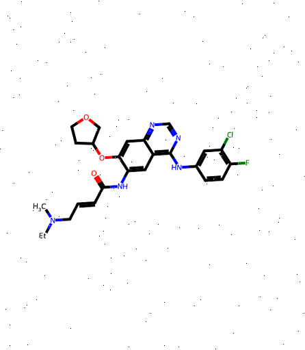 CCN(C)CC=CC(=O)Nc1cc2c(Nc3ccc(F)c(Cl)c3)ncnc2cc1OC1CCOC1